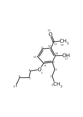 CCCc1c(OCCCI)ccc(C(C)=O)c1O